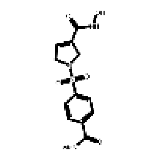 CNC(=O)c1ccc(S(=O)(=O)N2CC=C(C(=O)NO)C2)cc1